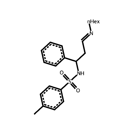 CCCCCCN=CCC(NS(=O)(=O)c1ccc(C)cc1)c1ccccc1